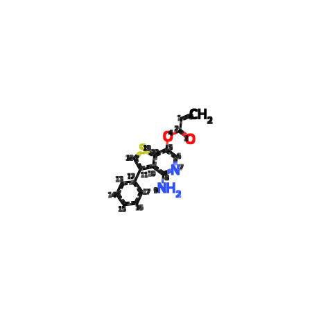 C=CC(=O)Oc1cnc(N)c2c(-c3ccccc3)csc12